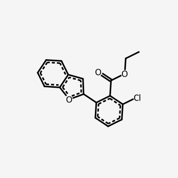 CCOC(=O)c1c(Cl)cccc1-c1cc2ccccc2o1